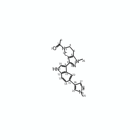 CC(=O)N1CCc2c(c(-c3c[nH]c4ccc(-c5cnn(C)c5)cc34)nn2C)C1